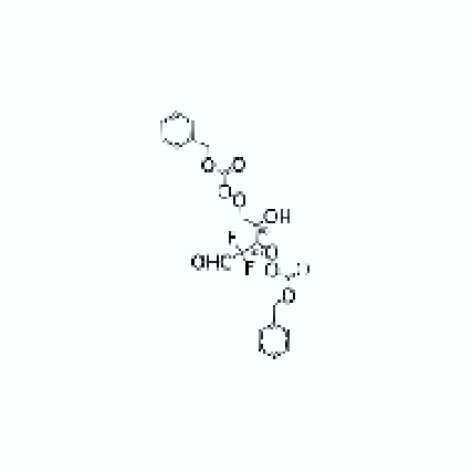 O=CC(F)(F)[C@H](OOC(=O)OCc1ccccc1)[C@H](O)COOC(=O)OCc1ccccc1